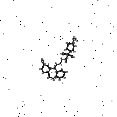 O=S(=O)(NCCCN1C2=CC(Cl)=CCC2=CCc2ccccc21)c1ccc(C(F)(F)F)cc1